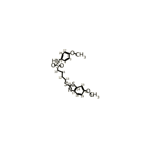 COc1ccc(NS(=O)(=O)CCCCSc2nc3ccc(OC)cc3s2)cc1